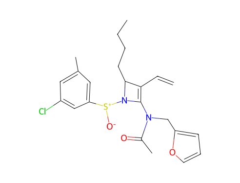 C=CC1=C(N(Cc2ccco2)C(C)=O)N([S+]([O-])c2cc(C)cc(Cl)c2)C1CCCC